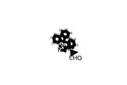 O=C[C@H]1C[C@H]1C(=O)c1cncn1C(c1ccccc1)(c1ccccc1)c1ccccc1